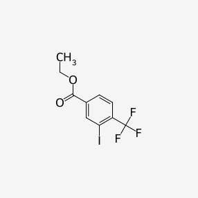 CCOC(=O)c1ccc(C(F)(F)F)c(I)c1